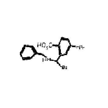 CCCCC(NCc1ccccc1)c1cc(CCC)ccc1C(=O)O